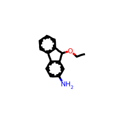 CCOC1c2ccccc2-c2ccc(N)cc21